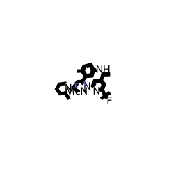 C=C(Nc1ccc(C)c(C(/C=C(\C)N2CCCCC2C)=N/NC)c1)c1ccnc(C(C)(C)F)c1